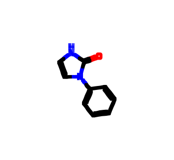 O=c1[nH]ccn1-c1ccccc1